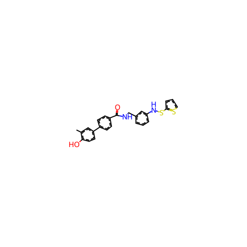 Cc1cc(-c2ccc(C(=O)NCc3cccc(NSc4cccs4)c3)cc2)ccc1O